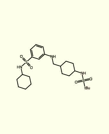 CC(C)(C)S(=O)(=O)NC1CCC(CNc2cccc(S(=O)(=O)NC3CCCCC3)c2)CC1